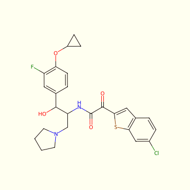 O=C(NC(CN1CCCC1)C(O)c1ccc(OC2CC2)c(F)c1)C(=O)c1cc2ccc(Cl)cc2s1